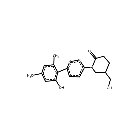 Cc1cc(C)c(-c2ccc(N3CC(CO)CCC3=O)nn2)c(O)c1